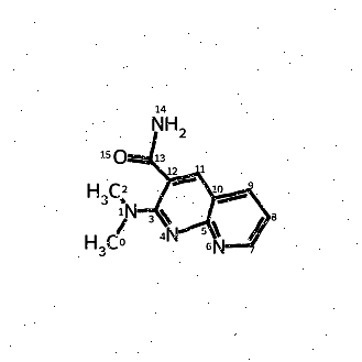 CN(C)c1nc2ncccc2cc1C(N)=O